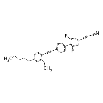 CCCCCc1ccc(C#Cc2ccc(-c3c(F)cc(C#CC#N)cc3F)cc2)c(CC)c1